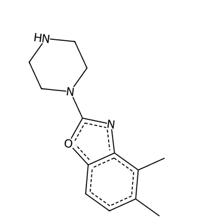 Cc1ccc2oc(N3CCNCC3)nc2c1C